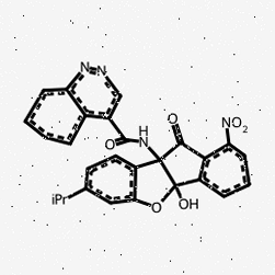 CC(C)c1ccc2c(c1)OC1(O)c3cccc([N+](=O)[O-])c3C(=O)C21NC(=O)c1cnnc2ccccc12